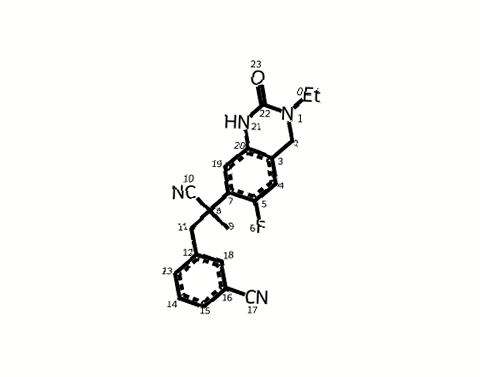 CCN1Cc2cc(F)c(C(C)(C#N)Cc3cccc(C#N)c3)cc2NC1=O